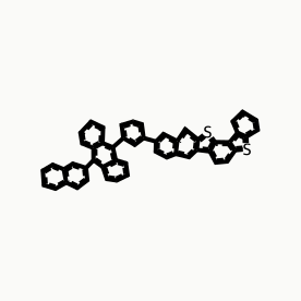 c1cc(-c2ccc3cc4c(cc3c2)sc2c4ccc3sc4ccccc4c32)cc(-c2c3ccccc3c(-c3ccc4ccccc4c3)c3ccccc23)c1